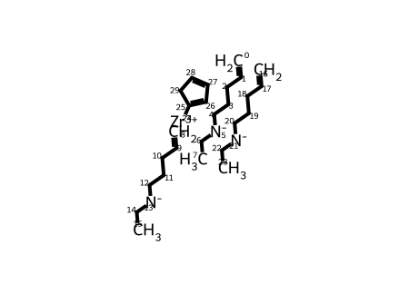 C=CCCC[N-]CC.C=CCCC[N-]CC.C=CCCC[N-]CC.[Zr+3][C]1=CC=CC1